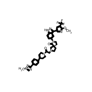 COc1ncc(-c2n[nH]c3ccc(N4CC[C@]5(CCN(CC(=O)N6CC=C(c7ccc(-c8ncn(C)n8)cc7)CC6)C5)C4=O)cc23)cc1C(F)(F)F